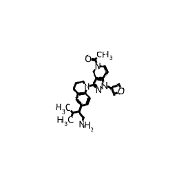 CC(=O)N1CCc2c(c(N3CCCc4cc(C(CN)C(C)C)ccc43)nn2C2COC2)C1